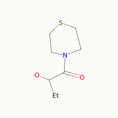 CCC([O])C(=O)N1CCSCC1